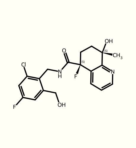 C[C@]1(O)CC[C@@](F)(C(=O)NCc2c(Cl)cc(F)cc2CO)c2cccnc21